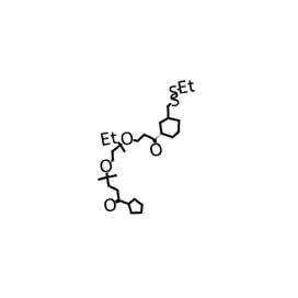 CCSSCC1CCC[C@H](C(=O)CCOC(C)(CC)CCOC(C)(C)CCC(=O)C2CCCC2)C1